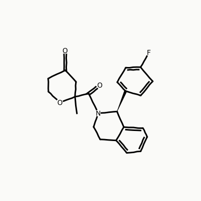 CC1(C(=O)N2CCc3ccccc3[C@@H]2c2ccc(F)cc2)CC(=O)CCO1